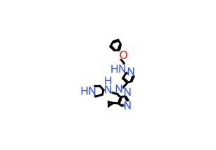 c1ccc(OCCNc2cc(-c3nc(CNC4CCNCC4)c4c(C5CC5)cncc4n3)ccn2)cc1